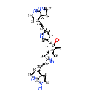 CC(C(=O)C(C)c1ccc(C#Cc2ccnc3[nH]ccc23)nc1)c1ccc(C#Cc2ccnc3[nH]ccc23)nc1